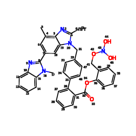 CCCc1nc2c(C)cc(-c3nc4ccccc4n3C)cc2n1Cc1ccc(-c2ccccc2C(=O)Oc2ccccc2CON(O)O)cc1